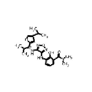 CC(C)c1coc([C@H](Nc2nonc2Nc2cccc(C(=O)N(C)C)c2O)C(C)C)c1